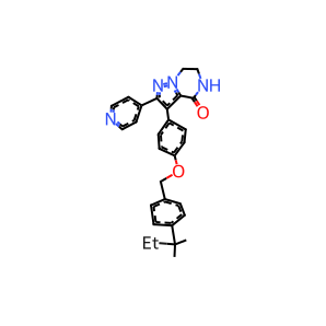 CCC(C)(C)c1ccc(COc2ccc(-c3c(-c4ccncc4)nn4c3C(=O)NCC4)cc2)cc1